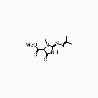 COC(=O)C1C(=O)NC(=NN=C(C)C)N1C